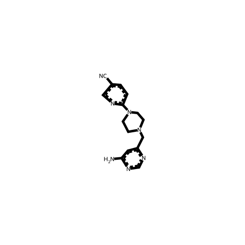 N#Cc1ccc(N2CCN(Cc3cc(N)ncn3)CC2)nc1